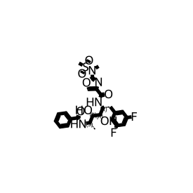 C[C@H](NC(=O)c1ccccc1)[C@@H](O)[C@H](O)[C@@H](Cc1cc(F)cc(F)c1)NC(=O)c1coc(N(C)S(C)(=O)=O)n1